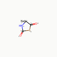 O=C1CNC(=O)S1.[NaH]